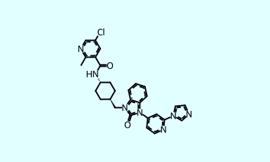 Cc1ncc(Cl)cc1C(=O)N[C@H]1CC[C@H](Cn2c(=O)n(-c3ccnc(-n4ccnc4)c3)c3ccccc32)CC1